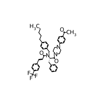 CCCCCc1ccc(CN(C(=O)/C=C/c2ccc(C(F)(F)F)cc2)[C@@H](Cc2ccccc2)C(=O)N2CCN(c3ccc(C(C)=O)cc3)CC2)cc1